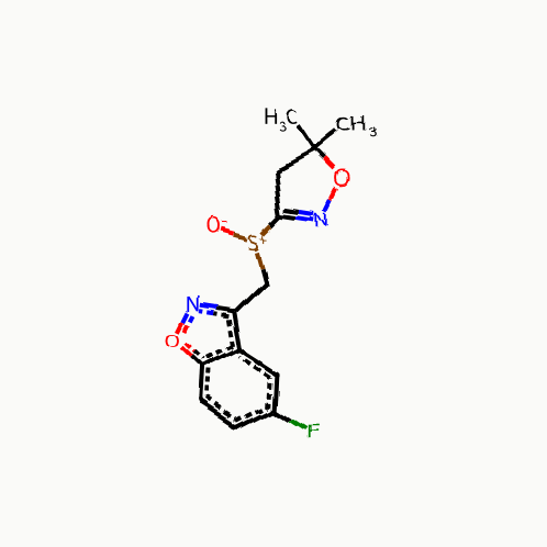 CC1(C)CC([S+]([O-])Cc2noc3ccc(F)cc23)=NO1